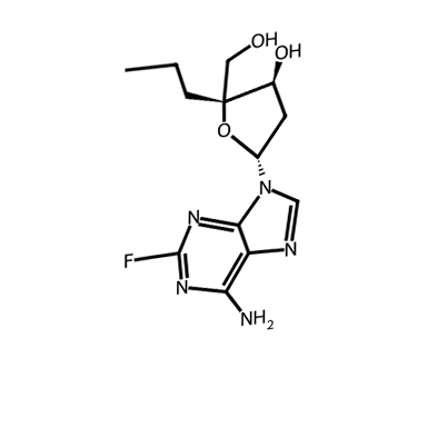 CCC[C@]1(CO)O[C@@H](n2cnc3c(N)nc(F)nc32)C[C@@H]1O